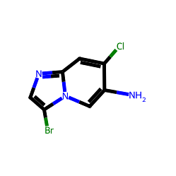 Nc1cn2c(Br)cnc2cc1Cl